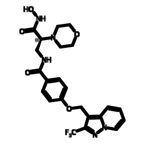 O=C(NC[C@@H](C(=O)NO)N1CCOCC1)c1ccc(OCc2c(C(F)(F)F)nn3ccccc23)cc1